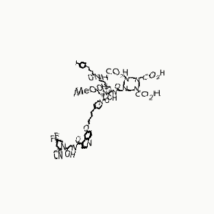 COC(=O)C[C@H](NC(=O)[C@H](CSCCNC(=O)CCCc1ccc(I)cc1)NC(=O)CN1CCN(CC(=O)O)CCN(CC(=O)O)CCN(CC(=O)O)CC1)C(=O)N1CCC(CCCCOc2ccc3nccc(C(=O)NCC(=O)N4CC(F)(F)C[C@@H]4C#N)c3c2)CC1